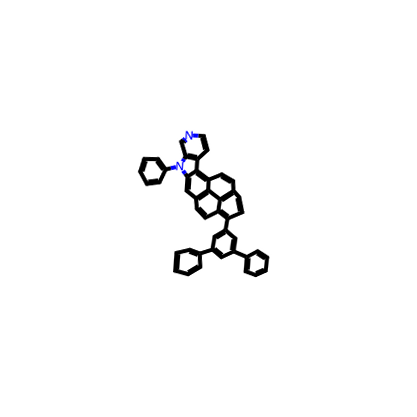 c1ccc(-c2cc(-c3ccccc3)cc(-c3ccc4ccc5c6c(ccc3c46)cc3c5c4ccncc4n3-c3ccccc3)c2)cc1